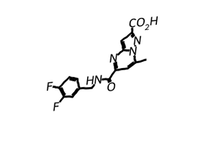 Cc1cc(C(=O)NCc2ccc(F)c(F)c2)nc2cc(C(=O)O)nn12